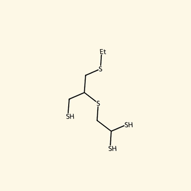 CCSCC(CS)SCC(S)S